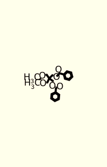 CC1(C)OCC(COC(=O)c2ccccc2)(COC(=O)c2ccccc2)CO1